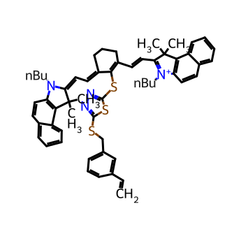 C=Cc1cccc(CSc2nnc(SC3=C(/C=C/C4=[N+](CCCC)c5ccc6ccccc6c5C4(C)C)CCC/C3=C\C=C3\N(CCCC)c4ccc5ccccc5c4C3(C)C)s2)c1